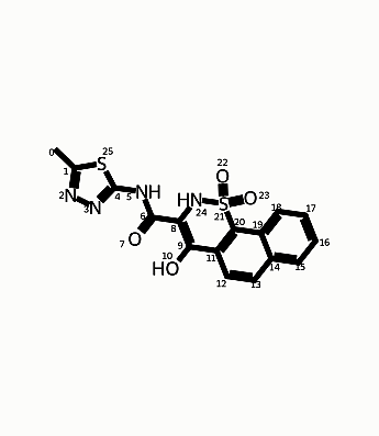 Cc1nnc(NC(=O)C2=C(O)c3ccc4ccccc4c3S(=O)(=O)N2)s1